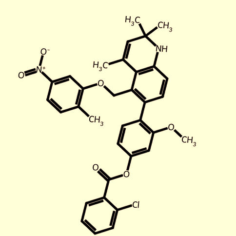 COc1cc(OC(=O)c2ccccc2Cl)ccc1-c1ccc2c(c1COc1cc([N+](=O)[O-])ccc1C)C(C)=CC(C)(C)N2